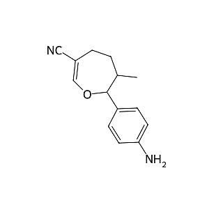 CC1CCC(C#N)=COC1c1ccc(N)cc1